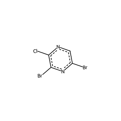 Clc1ncc(Br)nc1Br